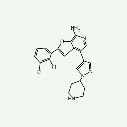 Nc1ncc(-c2cnn(C3CCNCC3)c2)c2cc(-c3cccc(Cl)c3Cl)oc12